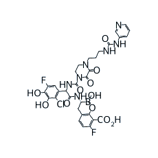 O=C(NCCCN1CCN(C(=O)NC(C(=O)N[C@H]2Cc3ccc(F)c(C(=O)O)c3OB2O)c2cc(F)c(O)c(O)c2Cl)C(=O)C1=O)Nc1cccnc1